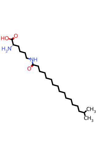 CC(C)CCCCCCCCCCCCCCC(=O)NCCCC[C@H](N)C(=O)O